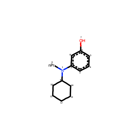 CCCN(c1cccc(O)c1)C1CCCCC1